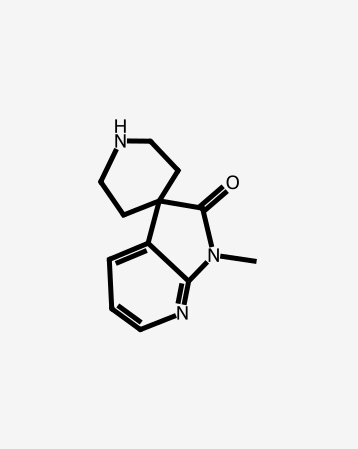 CN1C(=O)C2(CCNCC2)c2cccnc21